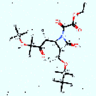 CCOC(=O)C(=O)N1C(=O)[C@H]([C@@H](C)O[Si](C)(C)C(C)(C)C)[C@H]1[C@@H](C)C(=O)C(C)(C)O[Si](C)(C)C